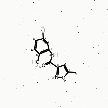 Cc1cc(C(=O)Nc2cc(Cl)ccc2O)no1